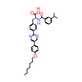 CCCCCCCOc1ccc(-c2cnc(-c3ccc(C[C@H](NC(=O)c4cccc(C(C)C)c4)C(=O)O)cc3)nc2)cc1